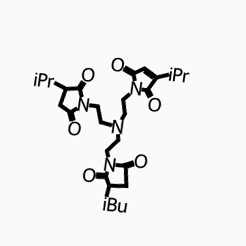 CCC(C)C1CC(=O)N(CCN(CCN2C(=O)C=C(C(C)C)C2=O)CCN2C(=O)CC(C(C)C)C2=O)C1=O